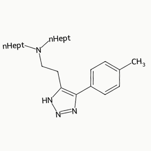 CCCCCCCN(CCCCCCC)CCc1[nH]nnc1-c1ccc(C)cc1